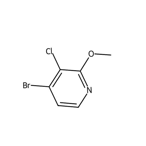 COc1nccc(Br)c1Cl